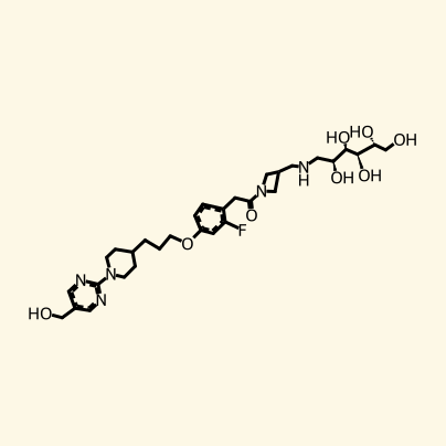 O=C(Cc1ccc(OCCCC2CCN(c3ncc(CO)cn3)CC2)cc1F)N1CC(CNC[C@H](O)[C@@H](O)[C@H](O)[C@H](O)CO)C1